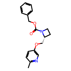 Cc1ccc(OC[C@H]2CCN2C(=O)OCc2ccccc2)cn1